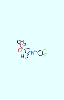 CCOC(=O)c1ccc(/N=C/c2ccc(F)c(F)c2)c(C)c1